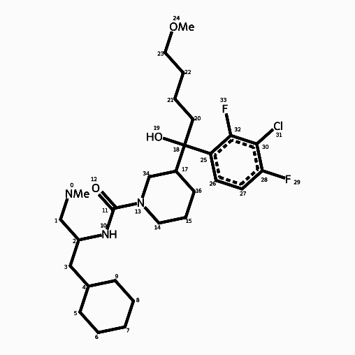 CNCC(CC1CCCCC1)NC(=O)N1CCCC(C(O)(CCCCOC)c2ccc(F)c(Cl)c2F)C1